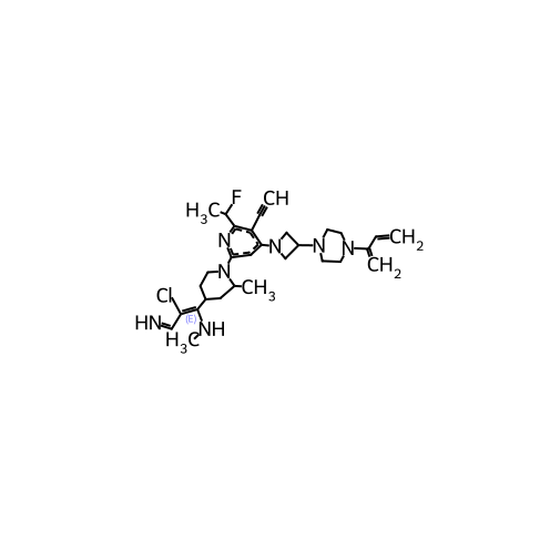 C#Cc1c(N2CC(N3CCN(C(=C)C=C)CC3)C2)cc(N2CCC(/C(NC)=C(\Cl)C=N)CC2C)nc1C(C)F